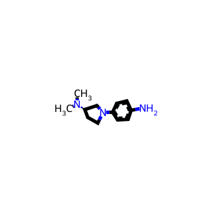 CN(C)[C@H]1CCN(c2ccc(N)cc2)C1